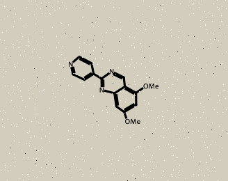 COc1cc(OC)c2cnc(-c3ccncc3)nc2c1